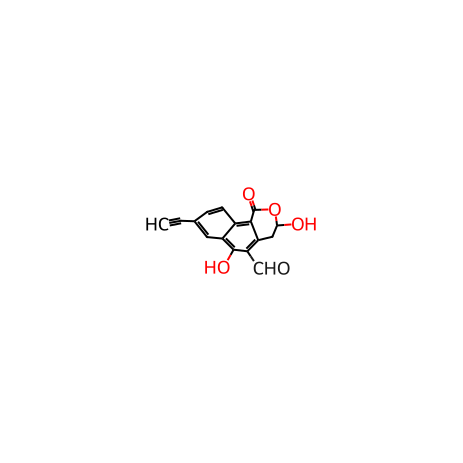 C#Cc1ccc2c3c(c(C=O)c(O)c2c1)CC(O)OC3=O